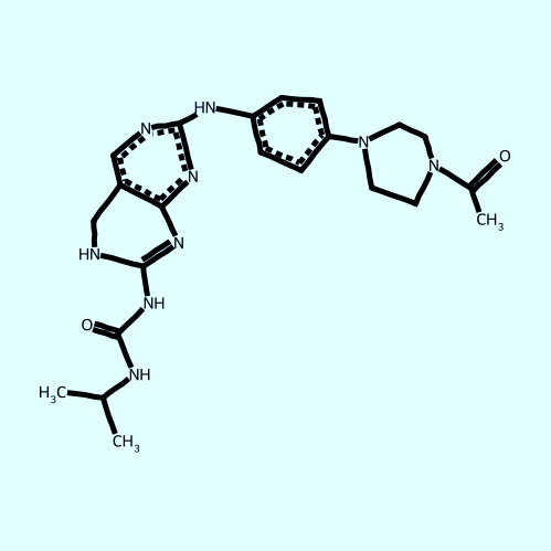 CC(=O)N1CCN(c2ccc(Nc3ncc4c(n3)N=C(NC(=O)NC(C)C)NC4)cc2)CC1